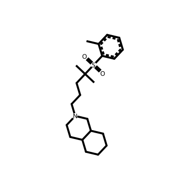 Cc1ccccc1S(=O)(=O)C(C)(C)CCCN1CCC2CCCCC2C1